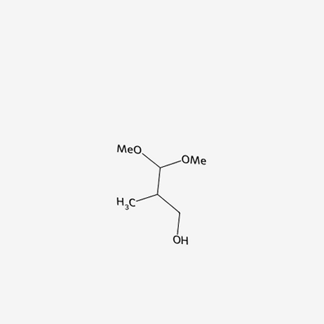 COC(OC)C(C)CO